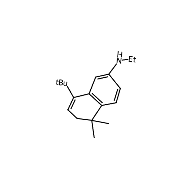 CCNc1ccc2c(c1)C(C(C)(C)C)=CCC2(C)C